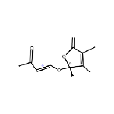 C=C1O[C@@](C)(O/C=C/C(C)=O)C(C)=C1C